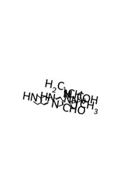 C=CCN(C)N(c1cccc(C(C)(C)O)n1)c1cc(Nc2ccc3c(c2)CNCC3)ncc1C=O